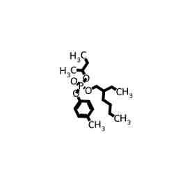 CCCCC(CC)COP(=O)(Oc1ccc(C)cc1)OC(C)CC